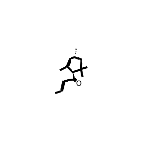 C/C=C/C(=O)[C@H]1C(C)=C[C@H](C)CC1(C)C